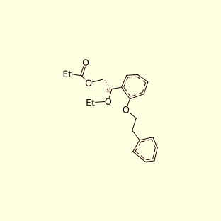 CCO[C@H](COC(=O)CC)c1ccccc1OCCc1ccccc1